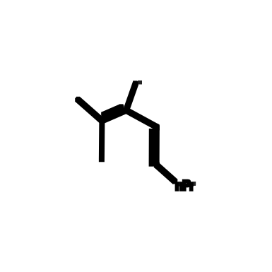 [CH2]C(C=CCCC)=C(C)C